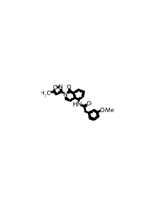 COc1cccc(CC(=O)Nc2cccc3c(=O)n(-c4cc(C)on4)ccc23)c1